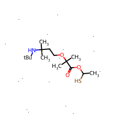 CC(S)OC(=O)C(C)(C)OCCC(C)(C)NC(C)(C)C